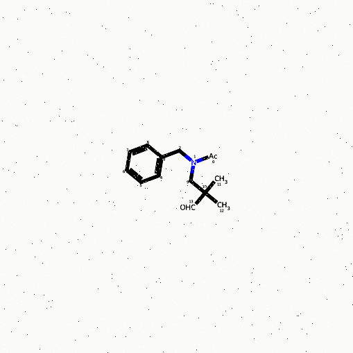 CC(=O)N(Cc1ccccc1)CC(C)(C)C=O